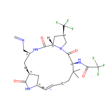 C=NC[C@@H]1C[C@@H]2C[C@@H](/C=C/CCC(C)(C)[C@H](NC(=O)C(F)(F)F)C(=O)N3C[C@H](C(F)(F)F)C[C@H]3C(=O)N1)NC2=O